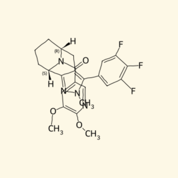 COc1cc(C(=O)N2[C@@H]3CCC[C@H]2c2nn(C)c(-c4cc(F)c(F)c(F)c4)c2C3)cnc1OC